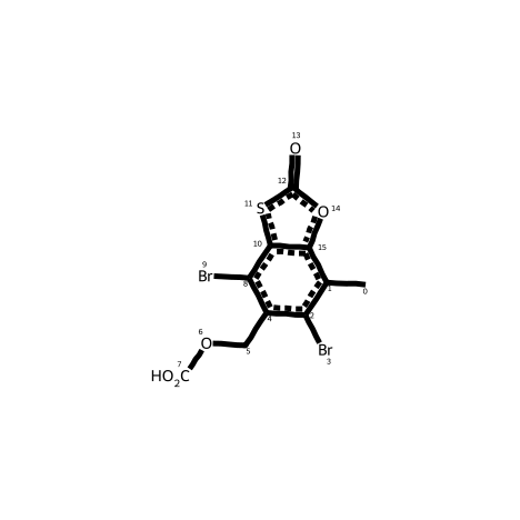 Cc1c(Br)c(COC(=O)O)c(Br)c2sc(=O)oc12